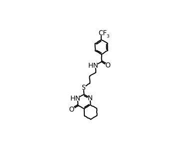 O=C(NCCCSc1nc2c(c(=O)[nH]1)CCCC2)c1ccc(C(F)(F)F)cc1